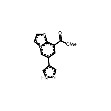 COC(=O)c1cc(-c2cn[nH]c2)cn2ccnc12